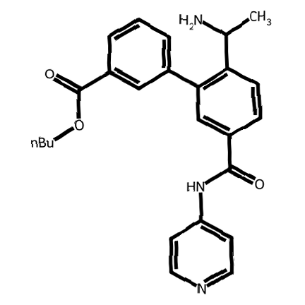 CCCCOC(=O)c1cccc(-c2cc(C(=O)Nc3ccncc3)ccc2C(C)N)c1